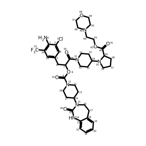 Nc1c(Cl)cc(CC(OC(=O)N2CCC(N3CCc4ccccc4NC3=O)CC2)C(=O)N2CCC(N3CCCC3C(=O)OCCN3CCOCC3)CC2)cc1C(F)(F)F